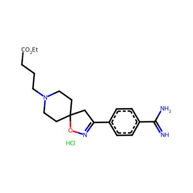 CCOC(=O)CCCN1CCC2(CC1)CC(c1ccc(C(=N)N)cc1)=NO2.Cl